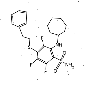 NS(=O)(=O)c1c(F)c(F)c(SCCc2ccccc2)c(F)c1NC1CCCCCC1